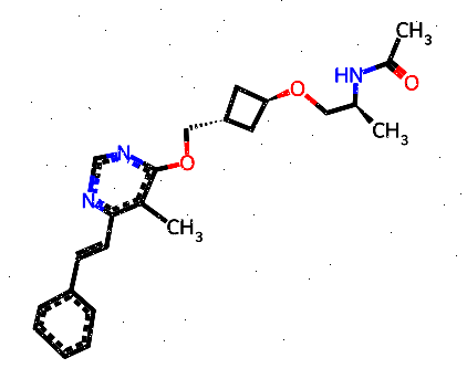 CC(=O)N[C@@H](C)CO[C@H]1C[C@H](COc2ncnc(/C=C/c3ccccc3)c2C)C1